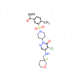 CNC(=O)c1ccc(C)c(S(=O)(=O)N2CCC(n3ncc(NC[C@@]4(F)CCCOC4)c(Cl)c3=O)CC2)c1